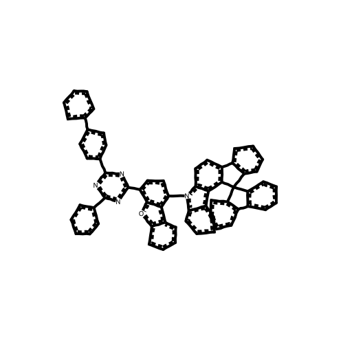 c1ccc(-c2ccc(-c3nc(-c4ccccc4)nc(-c4ccc(-n5c6ccccc6c6c7c(ccc65)-c5ccccc5C75c6ccccc6-c6ccccc65)c5c4oc4ccccc45)n3)cc2)cc1